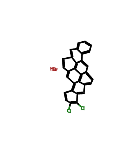 Br.Clc1ccc2c(cc3ccc4cc5c6ccccc6cc6ccc7cc2c3c4c7c65)c1Cl